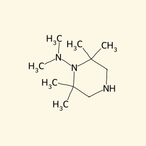 CN(C)N1C(C)(C)CNCC1(C)C